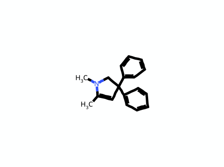 CC1=CC(c2ccccc2)(c2ccccc2)CN1C